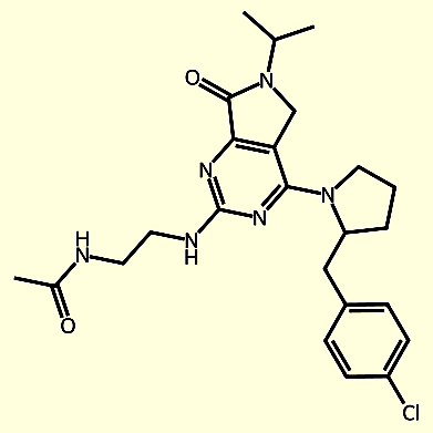 CC(=O)NCCNc1nc2c(c(N3CCCC3Cc3ccc(Cl)cc3)n1)CN(C(C)C)C2=O